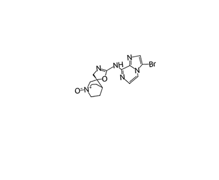 [O-][N+]12CCC(CC1)[C@]1(CN=C(Nc3nccn4c(Br)cnc34)O1)C2